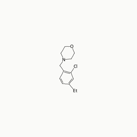 CCc1ccc(CN2CCOCC2)c(Cl)c1